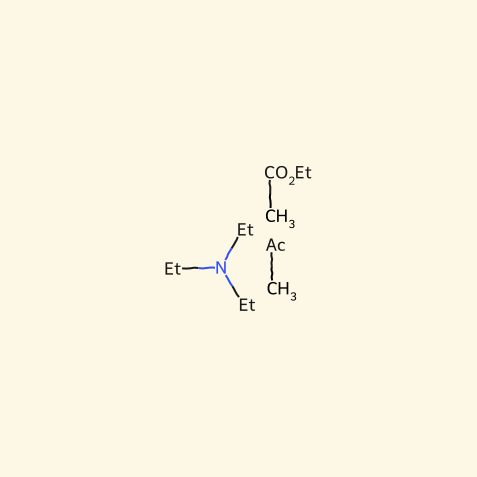 CC(C)=O.CCN(CC)CC.CCOC(C)=O